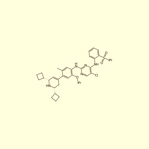 Cc1cc(Nc2ncc(Cl)c(Nc3ccccc3S(=O)(=O)C(C)C)n2)c(OC(C)C)cc1C1=C[C@@H](C2CCC2)N[C@@H](C2CCC2)C1